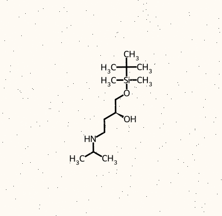 CC(C)NCC[C@H](O)CO[Si](C)(C)C(C)(C)C